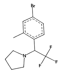 Cc1cc(Br)ccc1C(N1CCCC1)C(F)(F)F